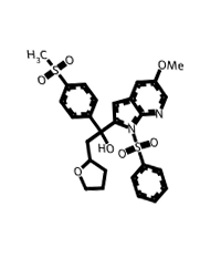 COc1cnc2c(c1)cc(C(O)(CC1CCCO1)c1ccc(S(C)(=O)=O)cc1)n2S(=O)(=O)c1ccccc1